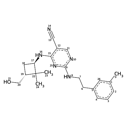 Cc1cccc(CCNc2ncc(C#N)c(N[C@@H]3C[C@@H](CO)C3(C)C)n2)c1